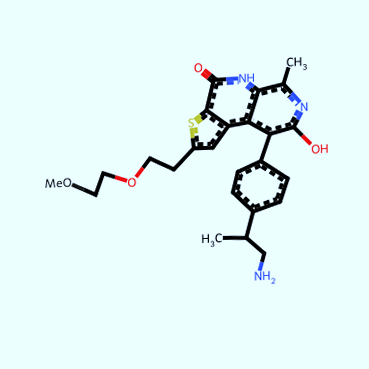 COCCOCCc1cc2c(s1)c(=O)[nH]c1c(C)nc(O)c(-c3ccc(C(C)CN)cc3)c12